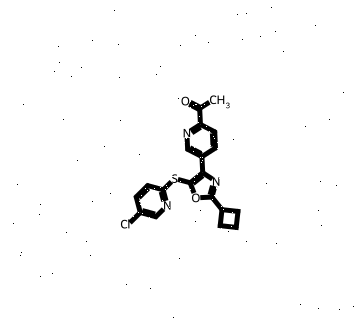 CC(=O)c1ccc(-c2nc(C3CCC3)oc2Sc2ccc(Cl)cn2)cn1